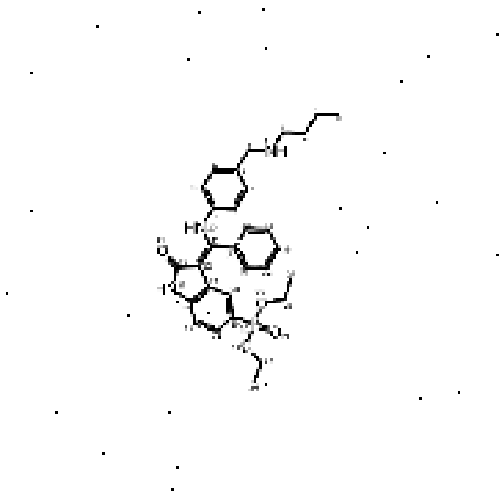 CCCCNCc1ccc(N/C(=C2\C(=O)Nc3ccc(P(=O)(OCC)OCC)cc32)c2ccccc2)cc1